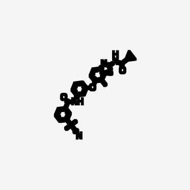 Cc1c(Oc2cccc(NC(=O)c3cccc(C(C)(C)C#N)c3)c2)ccc2nc(NC(=O)C3CC3)sc12